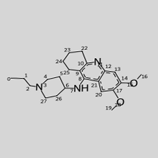 CCCN1CCC(Nc2c3c(nc4cc(OC)c(OC)cc24)CCCC3)CC1